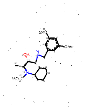 COc1cc(CNC[C@@H](O)[C@H](C)N(C(=O)O)C2CCCCC2)cc(OC)c1